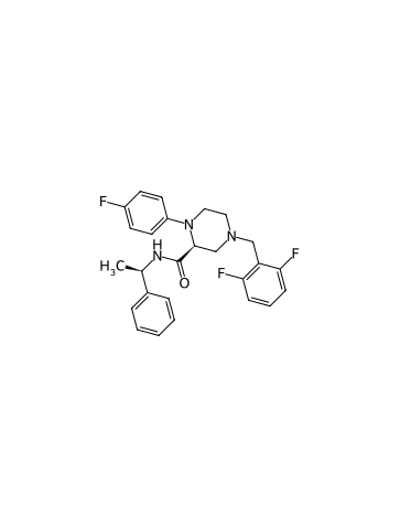 C[C@@H](NC(=O)[C@@H]1CN(Cc2c(F)cccc2F)CCN1c1ccc(F)cc1)c1ccccc1